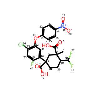 CC1(C(=O)O)CC(C(=O)O)(c2cc(Oc3ccc([N+](=O)[O-])cc3)c(Cl)cc2F)CCC1C(F)F